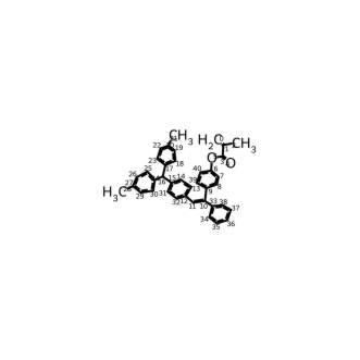 C=C(C)C(=O)Oc1ccc(/C(=C\c2ccc(C(c3ccc(C)cc3)c3ccc(C)cc3)cc2)c2ccccc2)cc1